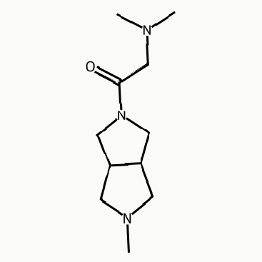 CN(C)CC(=O)N1CC2CN(C)CC2C1